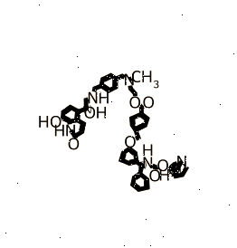 CN(CCOC(=O)c1ccc(COc2cccc([C@@H](NC(=O)O[C@H]3CN4CCC3CC4)c3ccccc3)c2)cc1)Cc1ccc(CNC[C@H](O)c2ccc(O)c3[nH]c(=O)ccc23)cc1